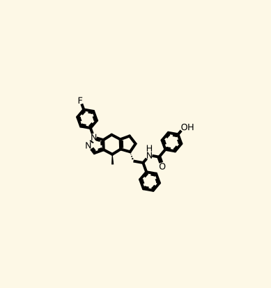 C[C@@H]1C2=C(CC[C@@H]2CC(NC(=O)c2ccc(O)cc2)c2ccccc2)Cc2c1cnn2-c1ccc(F)cc1